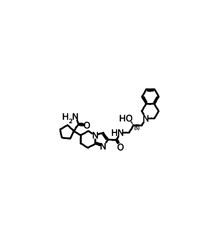 NC(=O)C1(C2CCc3nc(C(=O)NC[C@H](O)CN4CCc5ccccc5C4)cn3C2)CCCC1